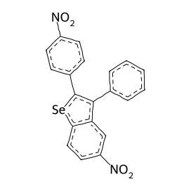 O=[N+]([O-])c1ccc(-c2[se]c3ccc([N+](=O)[O-])cc3c2-c2ccccc2)cc1